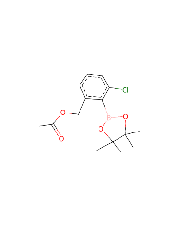 CC(=O)OCc1cccc(Cl)c1B1OC(C)(C)C(C)(C)O1